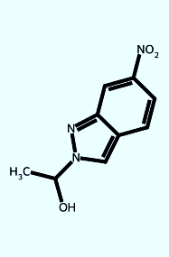 CC(O)n1cc2ccc([N+](=O)[O-])cc2n1